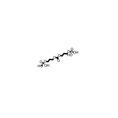 O=C(OCCCOP(=O)(O)O)OCCCOP(=O)(O)O